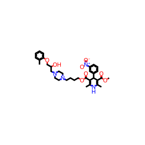 COC(=O)C1=C(C)NC(C)=C(C(=O)OCCCCN2CCN(CC(O)COc3ccccc3C)CC2)C1c1cccc([N+](=O)[O-])c1